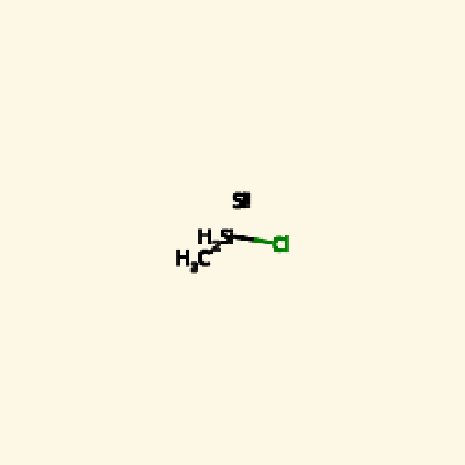 C[SiH2]Cl.[Si]